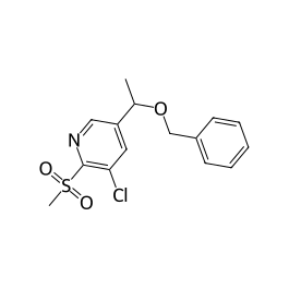 CC(OCc1ccccc1)c1cnc(S(C)(=O)=O)c(Cl)c1